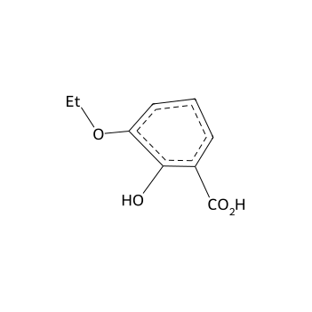 CCOc1cccc(C(=O)O)c1O